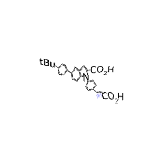 CC(C)(C)c1ccc(-c2ccc3c(c2)cc(C(=O)O)n3-c2ccc(/C=C/C(=O)O)cc2)cc1